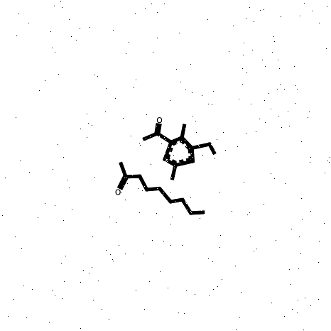 CCCCCCCC(C)=O.CCc1cc(C)cc(C(C)=O)c1C